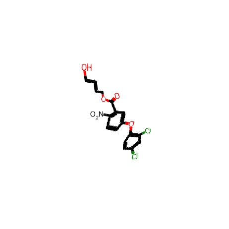 O=C(OCC=CCO)c1cc(Oc2ccc(Cl)cc2Cl)ccc1[N+](=O)[O-]